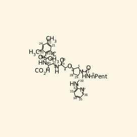 CCCCCNC(=O)N1C[C@H](OCC(=O)NC[C@H](NS(=O)(=O)c2c(C)cc(C)cc2C)C(=O)O)C[C@H]1CNc1ccccn1